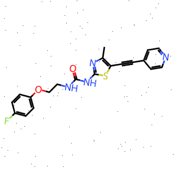 Cc1nc(NC(=O)NCCOc2ccc(F)cc2)sc1C#Cc1ccncc1